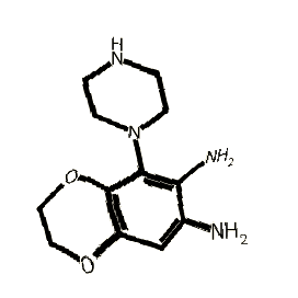 Nc1cc2c(c(N3CCNCC3)c1N)OCCO2